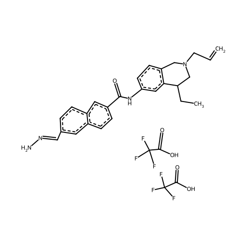 C=CCN1Cc2ccc(NC(=O)c3ccc4cc(C=NN)ccc4c3)cc2C(CC)C1.O=C(O)C(F)(F)F.O=C(O)C(F)(F)F